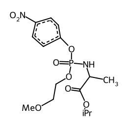 COCCOP(=O)(NC(C)C(=O)OC(C)C)Oc1ccc([N+](=O)[O-])cc1